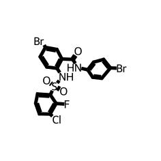 O=C(Nc1ccc(Br)cc1)c1cc(Br)ccc1NS(=O)(=O)c1cccc(Cl)c1F